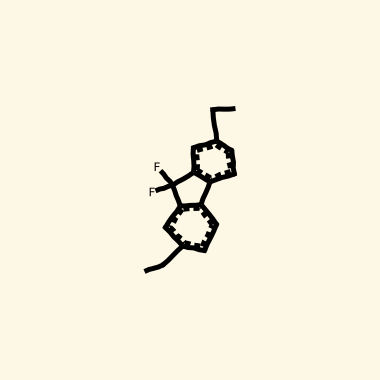 CCc1ccc2c(c1)C(F)(F)c1cc(CC)ccc1-2